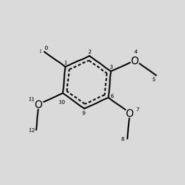 [CH]c1cc(OC)c(OC)cc1OC